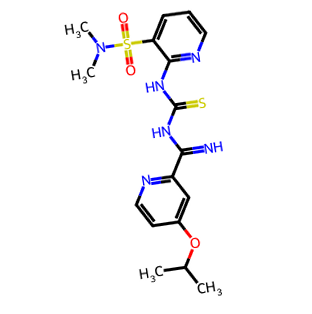 CC(C)Oc1ccnc(C(=N)NC(=S)Nc2ncccc2S(=O)(=O)N(C)C)c1